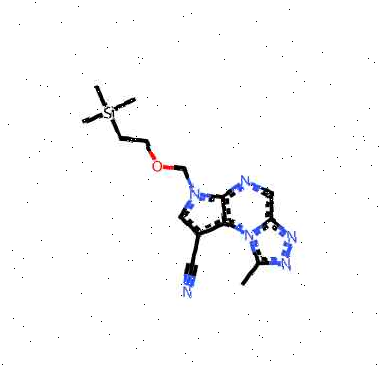 Cc1nnc2cnc3c(c(C#N)cn3COCC[Si](C)(C)C)n12